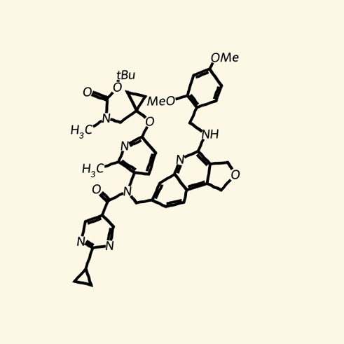 COc1ccc(CNc2nc3cc(CN(C(=O)c4cnc(C5CC5)nc4)c4ccc(OC5(CN(C)C(=O)OC(C)(C)C)CC5)nc4C)ccc3c3c2COC3)c(OC)c1